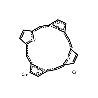 C1=Cc2cc3ccc(cc4nc(cc5ccc(cc1n2)[nH]5)C=C4)[nH]3.[Co].[Cr]